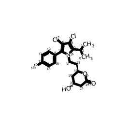 CC(C)c1c(Cl)c(Cl)c(-c2ccc(F)cc2)n1CC[C@@H]1C[C@@H](O)CC(=O)O1